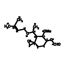 COC1C(OC=O)CC[C@]2(CO2)C1[C@H](C)OCC=C(C)C